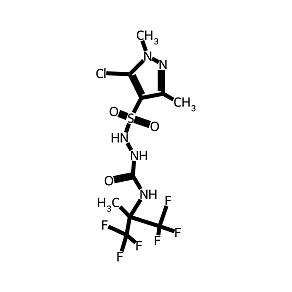 Cc1nn(C)c(Cl)c1S(=O)(=O)NNC(=O)NC(C)(C(F)(F)F)C(F)(F)F